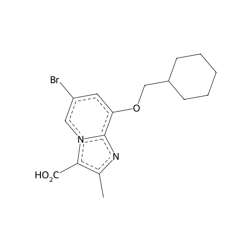 Cc1nc2c(OCC3CCCCC3)cc(Br)cn2c1C(=O)O